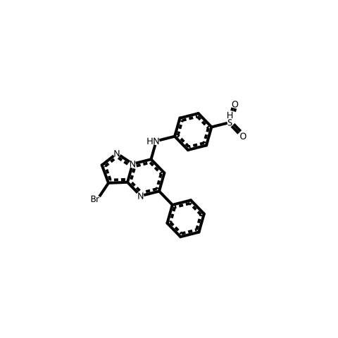 O=[SH](=O)c1ccc(Nc2cc(-c3ccccc3)nc3c(Br)cnn23)cc1